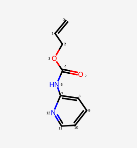 C=CCOC(=O)Nc1c[c]ccn1